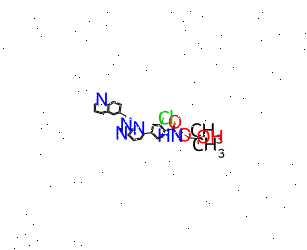 CC(C)(O)CONC(=O)c1ccc(-c2ccc3ncn(Cc4ccc5ncccc5c4)c3n2)cc1Cl